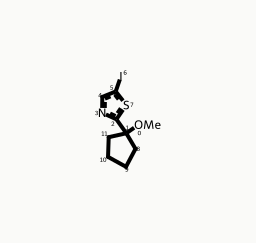 COC1(c2ncc(I)s2)CCCC1